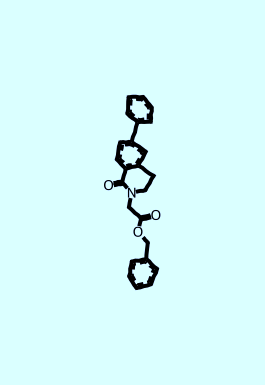 O=C(CN1CCc2cc(-c3ccccc3)ccc2C1=O)OCc1ccccc1